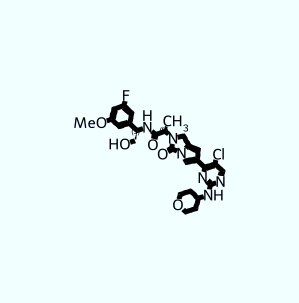 COc1cc(F)cc([C@@H](CO)NC(=O)[C@@H](C)N2Cc3cc(-c4nc(NC5CCOCC5)ncc4Cl)cn3C2=O)c1